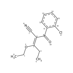 CCO/C(CC)=C(\C#N)C(=O)c1ccccc1Cl